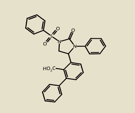 O=C(O)c1c(-c2ccccc2)cccc1C1CN(S(=O)(=O)c2ccccc2)C(=O)N1c1ccccc1